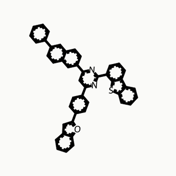 c1ccc(-c2ccc3cc(-c4cc(-c5ccc(-c6cc7ccccc7o6)cc5)nc(-c5cccc6c5sc5ccccc56)n4)ccc3c2)cc1